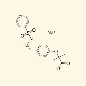 C[C@@H](Cc1ccc(OC(C)(C)C(=O)[O-])cc1)N(C)S(=O)(=O)c1ccccc1.[Na+]